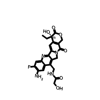 CC[C@@]1(O)C(=O)OCc2c1cc1n(c2=O)Cc2c-1nc1cc(F)c(N)cc1c2CNC(=O)CO